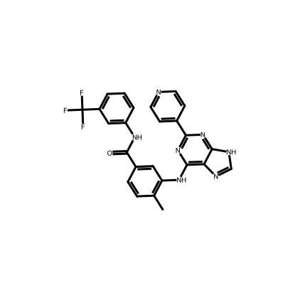 Cc1ccc(C(=O)Nc2cccc(C(F)(F)F)c2)cc1Nc1nc(-c2ccncc2)nc2[nH]cnc12